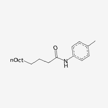 CCCCCCCCCCCC(=O)Nc1ccc(C)cc1